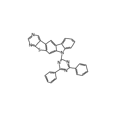 c1ccc(-c2nc(-c3ccccc3)nc(-n3c4ccccc4c4cc5c(cc43)sc3ncncc35)n2)cc1